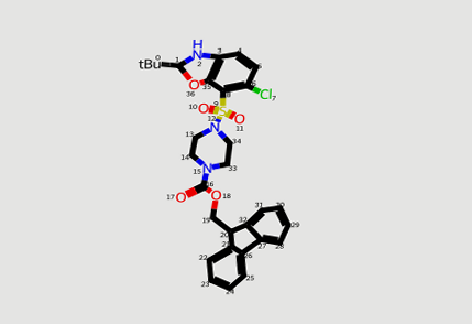 CC(C)(C)C1Nc2ccc(Cl)c(S(=O)(=O)N3CCN(C(=O)OCC4c5ccccc5-c5ccccc54)CC3)c2O1